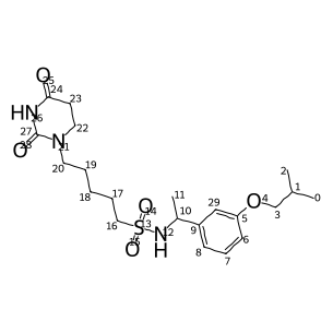 CC(C)COc1cccc(C(C)NS(=O)(=O)CCCCCN2CCC(=O)NC2=O)c1